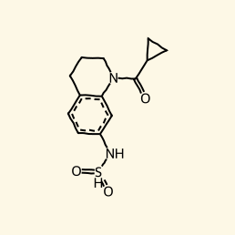 O=C(C1CC1)N1CCCc2ccc(N[SH](=O)=O)cc21